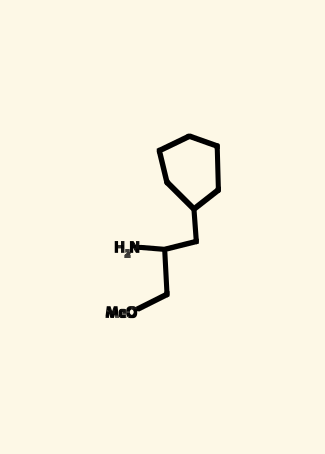 COCC(N)CC1CCCCC1